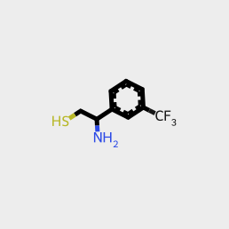 NC(CS)c1cccc(C(F)(F)F)c1